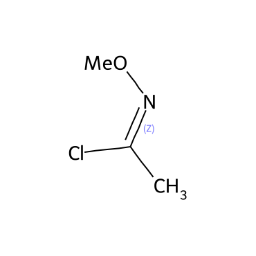 CO/N=C(/C)Cl